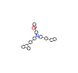 c1ccc2cc(-c3ccc(-c4ccc(N(c5ccc(-c6ccc(-c7cc8ccccc8c8ccccc78)cc6)cc5)c5ccc(-c6cc7ccccc7o6)cc5)cc4)cc3)ccc2c1